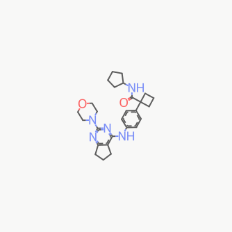 O=C(NC1CCCC1)C1(c2ccc(Nc3nc(N4CCOCC4)nc4c3CCC4)cc2)CCC1